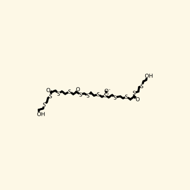 O=C(CSCCSCC[S+]([O-])CSCCSCSC(=O)CSCCSCC(=O)SCCSCCO)SCCSCCO